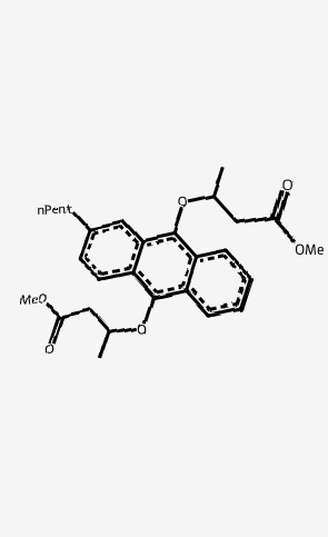 CCCCCc1ccc2c(OC(C)CC(=O)OC)c3ccccc3c(OC(C)CC(=O)OC)c2c1